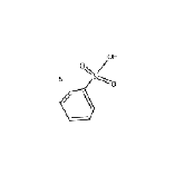 O=S(=O)(O)c1ccccc1.[S]